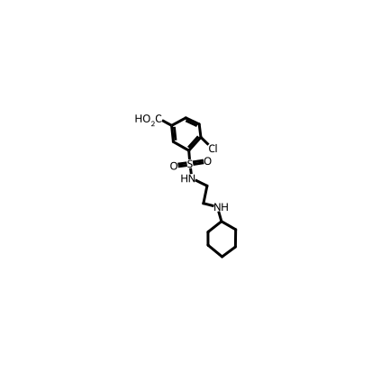 O=C(O)c1ccc(Cl)c(S(=O)(=O)NCCNC2CCCCC2)c1